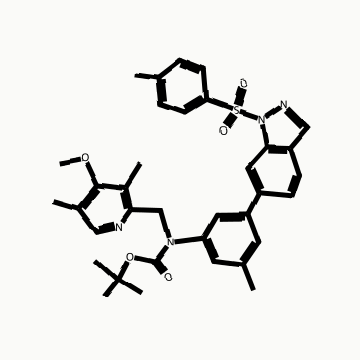 COc1c(C)cnc(CN(C(=O)OC(C)(C)C)c2cc(C)cc(-c3ccc4cnn(S(=O)(=O)c5ccc(C)cc5)c4c3)c2)c1C